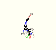 COCCOCCN1CCC(c2ccc3[nH]c(-c4cn(C)c(=O)c(Cl)c4C)c(C(C)C)c3c2)CC1